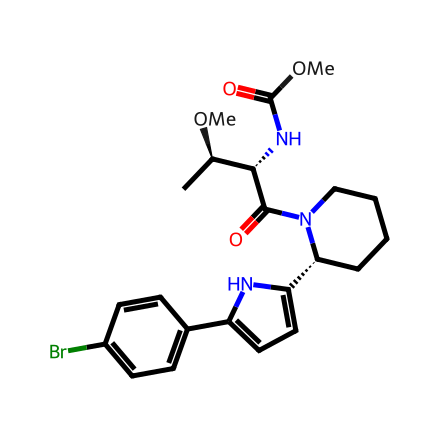 COC(=O)N[C@H](C(=O)N1CCCC[C@@H]1c1ccc(-c2ccc(Br)cc2)[nH]1)[C@@H](C)OC